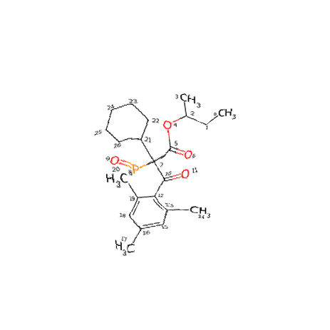 CCC(C)OC(=O)C(P=O)(C(=O)c1c(C)cc(C)cc1C)C1CCCCC1